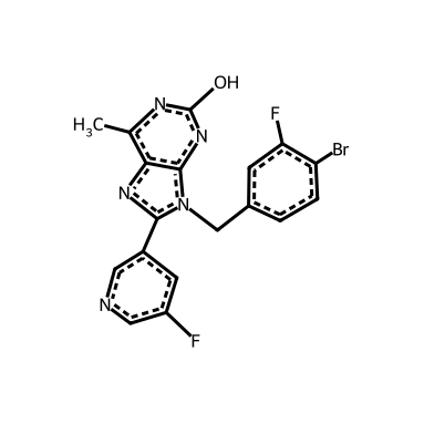 Cc1nc(O)nc2c1nc(-c1cncc(F)c1)n2Cc1ccc(Br)c(F)c1